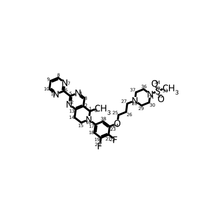 CC1c2cnc(-c3ncccn3)nc2CCN1c1cc(F)c(F)c(OCCCN2CCN(S(C)(=O)=O)CC2)c1